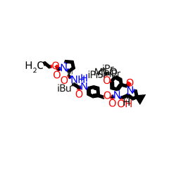 C=CCOC(=O)N1CCC[C@H]1C(=O)N[C@H](C(=O)Nc1ccc(COC(=O)N2c3cc(O[Si](C(C)C)(C(C)C)C(C)C)c(OC)cc3C(=O)N3CC4(CC4)C[C@H]3C2O)cc1)C(C)CC